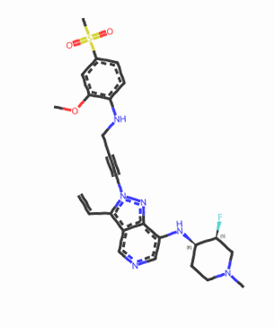 C=Cc1c2cncc(N[C@@H]3CCN(C)C[C@@H]3F)c2nn1C#CCNc1ccc(S(C)(=O)=O)cc1OC